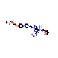 COCCOc1ccc(N2CCN(CCn3ncc4c(N/N=C/c5ccco5)nc(N)nc43)CC2)cc1